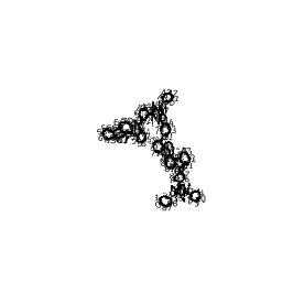 c1ccc(-c2nc(-c3ccccc3)nc(-c3ccc(-n4c5ccccc5c5c6oc7c(-c8cccc(-c9nc(-c%10ccccc%10)nc(-c%10cccc(-n%11c%12ccccc%12c%12c%13oc%14ccccc%14c%13ccc%12%11)c%10)n9)c8)cccc7c6ccc54)cc3)n2)cc1